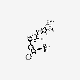 COC(=O)Cn1nc(CN(C)CC(C)Oc2c(-c3ccc4c(c3)c(C#C[Si](C(C)C)(C(C)C)C(C)C)nn4C3CCCCO3)cnn2C)c(I)c1C